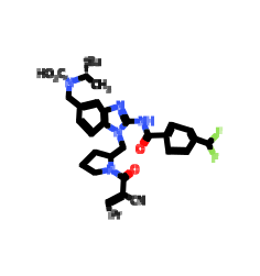 CC(C)C=C(C#N)C(=O)N1CCCC1Cn1c(NC(=O)c2ccc(C(F)F)cc2)nc2cc(CN(C(=O)O)[C@@H](C)C(C)(C)C)ccc21